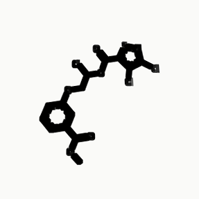 COC(=O)c1cccc(OCC(Cl)OC(=O)c2snc(Cl)c2Cl)c1